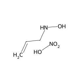 C=CCNO.O=[N+]([O-])O